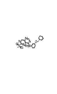 CS(=O)(=O)c1ncc2ncnc(Nc3cccc(OCc4ccccc4)c3)c2n1